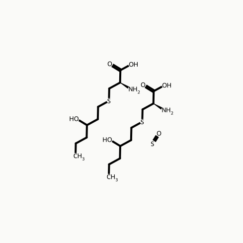 CCCC(O)CCSC[C@H](N)C(=O)O.CCCC(O)CCSC[C@H](N)C(=O)O.O=S